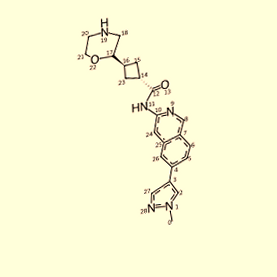 Cn1cc(-c2ccc3cnc(NC(=O)[C@H]4C[C@H](C5CNCCO5)C4)cc3c2)cn1